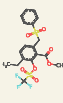 CCc1ccc(CS(=O)(=O)c2ccccc2)c(C(=O)OC)c1OS(=O)(=O)C(F)(F)F